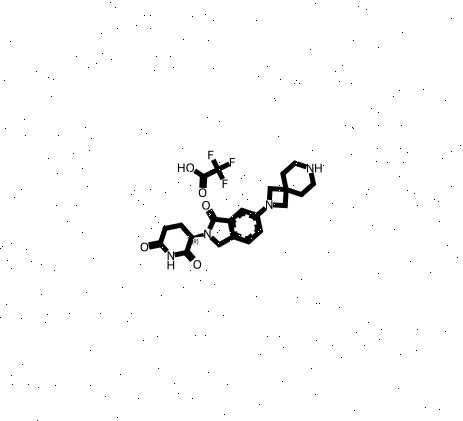 O=C(O)C(F)(F)F.O=C1CC[C@@H](N2Cc3ccc(N4CC5(CCNCC5)C4)cc3C2=O)C(=O)N1